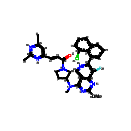 COc1nc(N(C)C2CCN(C(=O)/C=C/c3cc(C)nc(C)n3)C2)c2cnc(-c3cccc4cccc(Cl)c34)c(F)c2n1